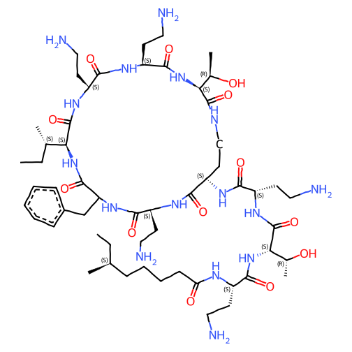 CC[C@H](C)CCCCC(=O)N[C@@H](CCN)C(=O)N[C@H](C(=O)N[C@@H](CCN)C(=O)N[C@H]1CCNC(=O)[C@H]([C@@H](C)O)NC(=O)[C@H](CCN)NC(=O)[C@H](CCN)NC(=O)[C@H]([C@@H](C)CC)NC(=O)C(Cc2ccccc2)NC(=O)[C@H](CCN)NC1=O)[C@@H](C)O